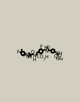 Cc1cc(-n2cc(C(=O)NC(Cc3ccc(-c4noc(-c5ccc(NC(=O)OC(C)(C)C)cc5)n4)c(F)c3)C(=O)O)nn2)ccc1F